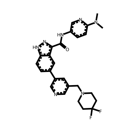 CN(C)c1ccc(NC(=O)c2n[nH]c3ccc(-c4cncc(CN5CCC(F)(F)CC5)c4)cc23)cn1